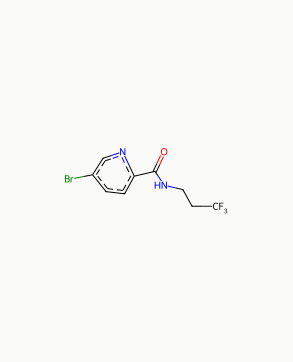 O=C(NCCC(F)(F)F)c1ccc(Br)cn1